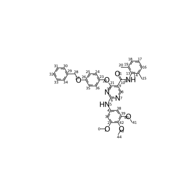 COc1cc(Nc2ncc(C(=O)Nc3c(C)cccc3C)c(Oc3ccc(OCc4ccccc4)cc3)n2)cc(OC)c1OC